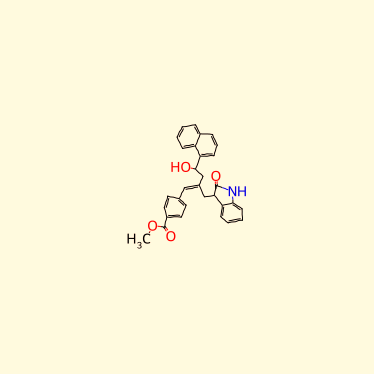 COC(=O)c1ccc(C=C(CC(O)c2cccc3ccccc23)CC2C(=O)Nc3ccccc32)cc1